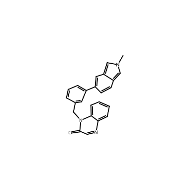 Cn1cc2ccc(-c3cccc(Cn4c(=O)cnc5ccccc54)c3)cc2c1